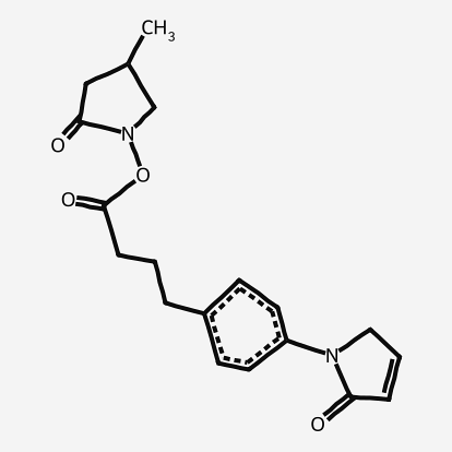 CC1CC(=O)N(OC(=O)CCCc2ccc(N3CC=CC3=O)cc2)C1